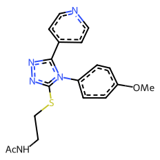 COc1ccc(-n2c(SCCNC(C)=O)nnc2-c2ccncc2)cc1